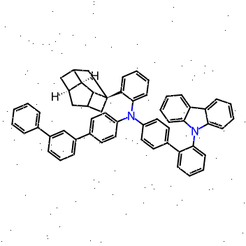 c1ccc(-c2cccc(-c3ccc(N(c4ccc(-c5ccccc5-n5c6ccccc6c6ccccc65)cc4)c4ccccc4[C@]45CC6C[C@H]7CC(C4)[C@H]7C65)cc3)c2)cc1